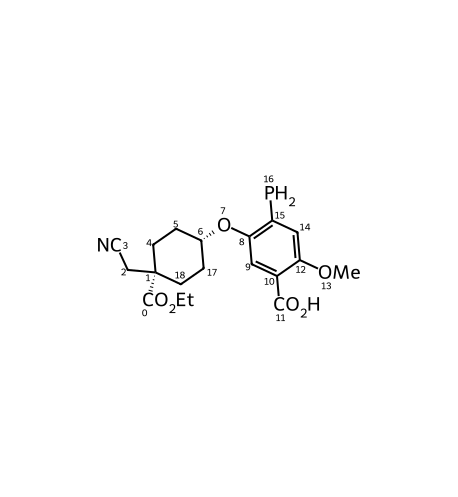 CCOC(=O)[C@]1(CC#N)CC[C@H](Oc2cc(C(=O)O)c(OC)cc2P)CC1